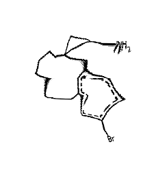 NC1CC12CCCc1cc(Br)ccc12